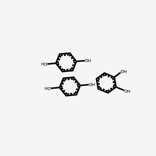 Oc1ccc(O)cc1.Oc1ccc(O)cc1.Oc1ccccc1O